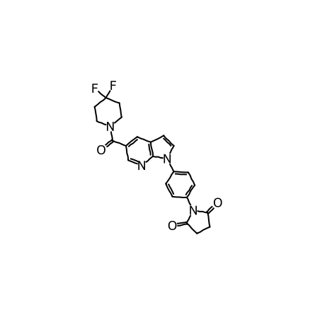 O=C(c1cnc2c(ccn2-c2ccc(N3C(=O)CCC3=O)cc2)c1)N1CCC(F)(F)CC1